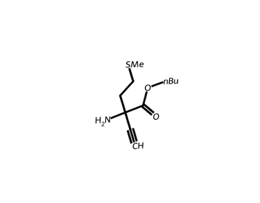 C#CC(N)(CCSC)C(=O)OCCCC